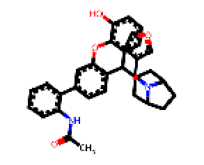 CC(=O)Nc1ccccc1-c1ccc2c(c1)Oc1c(O)cccc1C2C1CC2CCC(C1)N2Cc1ccoc1